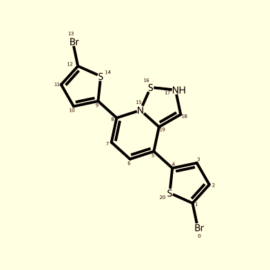 Brc1ccc(C2=CC=C(c3ccc(Br)s3)N3SNC=C23)s1